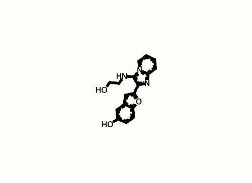 OCCNc1c(-c2cc3cc(O)ccc3o2)nc2ccccn12